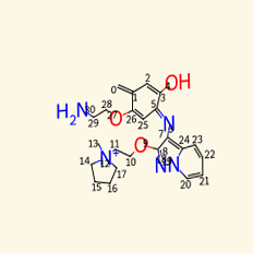 C=C1C=C(O)/C(=N/c2c(OCC[N+]3(C)CCCC3)nn3ccccc23)C=C1OCCN